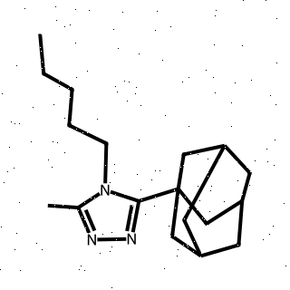 CCCCCn1c(C)nnc1C12CC3CC(CC(C3)C1)C2